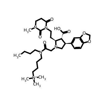 CCCCN(CCCC[N+](C)(C)C)C(=O)CN1C[C@H](c2ccc3c(c2)OCO3)[C@@H](C(=O)O)[C@@H]1CCN1C(=O)CCN(C)C1=O